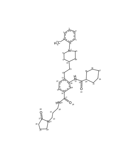 Cc1ccccc1N1CCC(CCc2ccc(C(=O)NCCCN3CCCC3=O)cc2NC(=O)C2CCCCC2)CC1